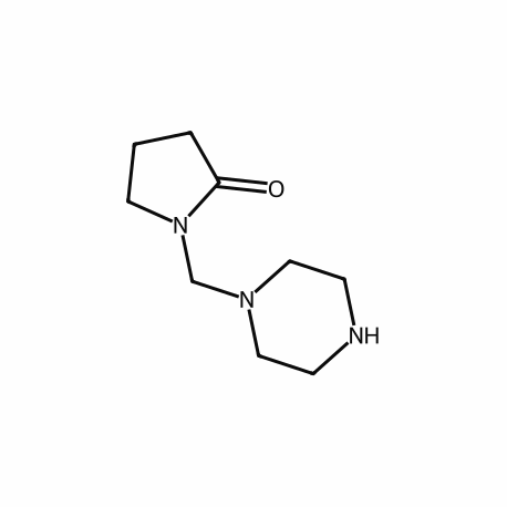 O=C1CCCN1CN1CCNCC1